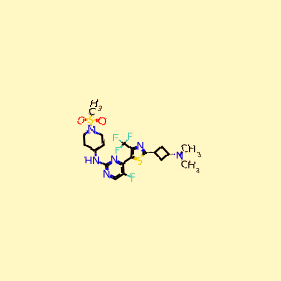 CN(C)[C@H]1C[C@H](c2nc(C(F)(F)F)c(-c3nc(NC4CCN(S(C)(=O)=O)CC4)ncc3F)s2)C1